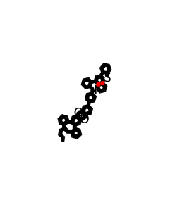 CC/C=C\c1cc2ccccc2c2cc3oc4ccc(-c5ccc(N(C6=C(c7ccc8c(c7)C7C=CC=CC7S8)C=CCC6)c6ccccc6)cc5)cc4oc3cc2c2ccccc12